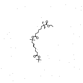 CCOC(=O)C(F)(F)CCCCCC(=O)OC(C)(C)C/C=C/CCCC(=O)OC(C)(C)C